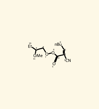 CCCCC=C(C#N)C(=O)OOCC(CC)OC